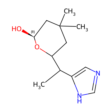 CC(c1cnc[nH]1)C1CC(C)(C)C[C@H](O)O1